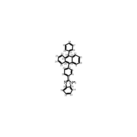 Cn1c(-c2ccc(-c3c4ccccc4c(-c4ccccc4)c4ccccc34)cc2)nc2ccccc21